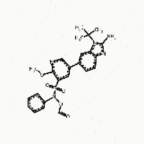 COc1ncc(-c2ccc3nc(N)n(C(C)(C)C)c3c2)cc1S(=O)(=O)N(OC=O)c1ccccc1